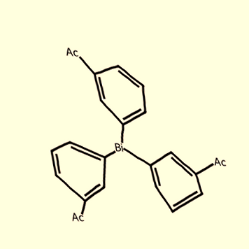 CC(=O)c1ccc[c]([Bi]([c]2cccc(C(C)=O)c2)[c]2cccc(C(C)=O)c2)c1